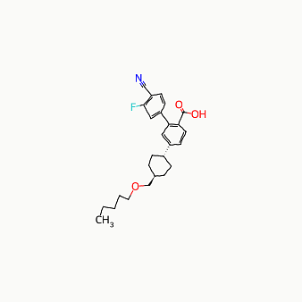 CCCCCOC[C@H]1CC[C@H](c2ccc(C(=O)O)c(-c3ccc(C#N)c(F)c3)c2)CC1